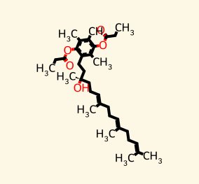 CCC(=O)Oc1c(C)c(C)c(OC(=O)CC)c(CC[C@](C)(O)CC/C=C(\C)CC/C=C(\C)CCC=C(C)C)c1C